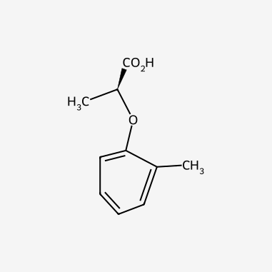 Cc1ccccc1O[C@@H](C)C(=O)O